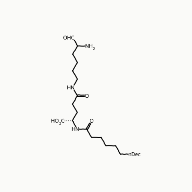 CCCCCCCCCCCCCCCC(=O)N[C@@H](CCC(=O)NCCCCC(N)C=O)C(=O)O